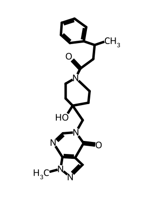 CC(CC(=O)N1CCC(O)(Cn2cnc3c(cnn3C)c2=O)CC1)c1ccccc1